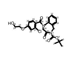 CC(C)(C)OC(=O)N1Cc2ccccc2N(C(=O)c2ccc(OCCO)cc2Cl)CC1=O